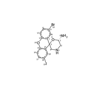 N[C@@H]1CNCC2(O1)c1cc(Br)ccc1Oc1ccc(I)cc12